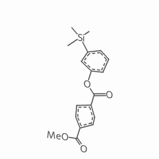 COC(=O)c1ccc(C(=O)Oc2cccc([Si](C)(C)C)c2)cc1